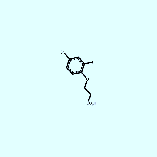 O=C(O)CCOc1ccc(Br)cc1F